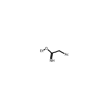 CCOC(=N)CC(C)=O